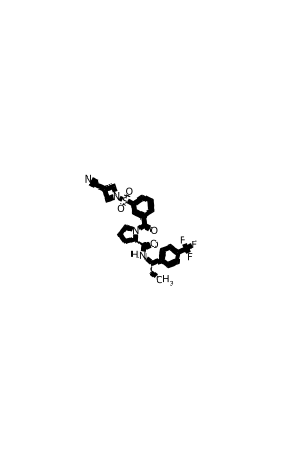 CC[C@H](NC(=O)[C@H]1CCCN1C(=O)c1cccc(S(=O)(=O)N2CC(C#N)C2)c1)c1ccc(C(F)(F)F)cc1